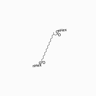 CCCCCCOC(=O)CCCCCCCCCCCCCCCC(C)CC(=O)OCCCCCC